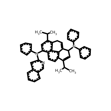 CC(C)C1=CC(N(c2ccccc2)c2ccccc2)C2=CCc3c(C(C)C)cc(N(c4ccccc4)c4cc5ccccc5cn4)c4ccc1c2c34